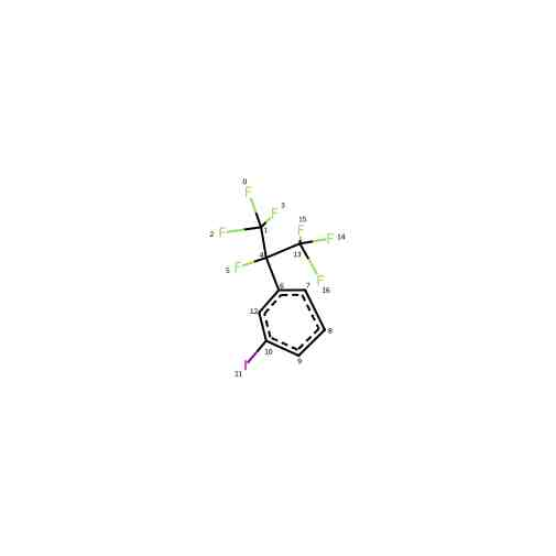 FC(F)(F)C(F)(c1cccc(I)c1)C(F)(F)F